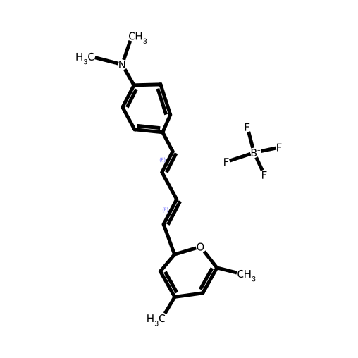 CC1=CC(/C=C/C=C/c2ccc(N(C)C)cc2)OC(C)=C1.F[B-](F)(F)F